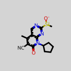 Cc1c(C#N)c(=O)n(C2CCCC2)c2nc([S+](C)[O-])ncc12